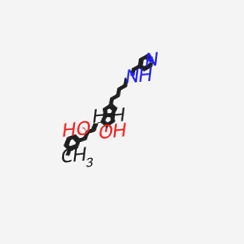 Cc1cccc(C[C@H](O)/C=C/[C@@H]2[C@H]3CC(CCCCCNCc4ccncc4)=C[C@H]3C[C@H]2O)c1